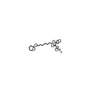 COC(=O)C1(OCCCCCCCOC2CCCCO2)COC1